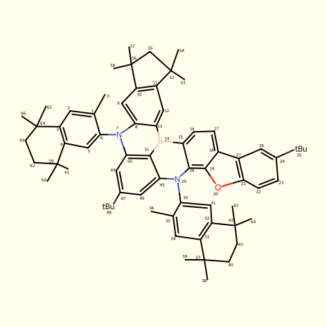 Cc1cc2c(cc1N1c3cc4c(cc3B3c5ccc6c(oc7ccc(C(C)(C)C)cc76)c5N(c5cc6c(cc5C)C(C)(C)CCC6(C)C)c5cc(C(C)(C)C)cc1c53)C(C)(C)CC4(C)C)C(C)(C)CCC2(C)C